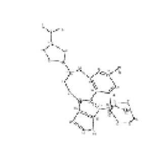 CC(C)N1CCC(N2CCn3c(c(C4CCCCC4)c4sccc43)-c3c(cc(Cl)cc3C(=O)O)C2)C1